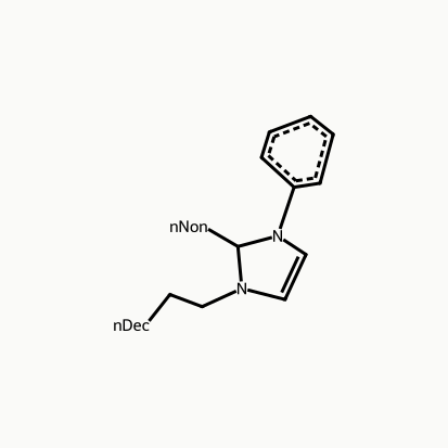 CCCCCCCCCCCCN1C=CN(c2ccccc2)C1CCCCCCCCC